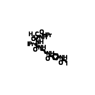 CC(C)C(=O)N[C@H](C)C(=O)N[C@@H](C(=O)NCCCNC(=O)c1ccc(NC(=O)CI)cc1)C(C)C